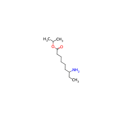 CCC(N)CCCCCC(=O)OC(C)C